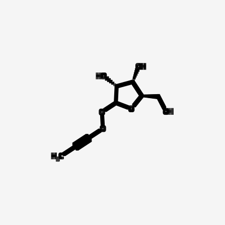 CC#COOC1O[C@H](CO)[C@@H](O)[C@H]1O